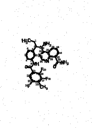 CCC(c1cccc(NC(=O)c2cc(F)c(C)c(F)c2F)c1)N(N)c1ncnc2c(C(N)=O)cccc12